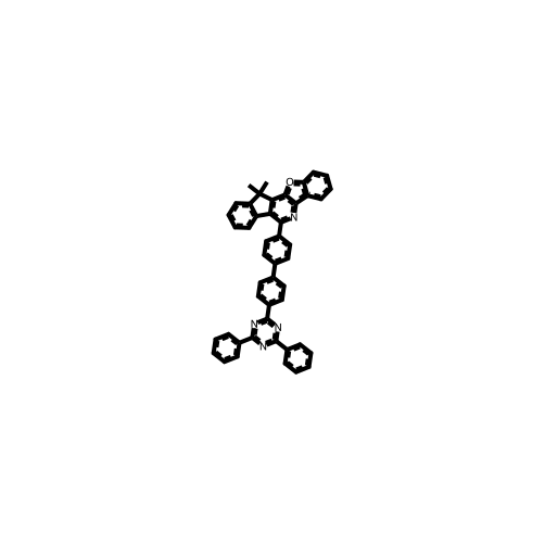 CC1(C)c2ccccc2-c2c(-c3ccc(-c4ccc(-c5nc(-c6ccccc6)nc(-c6ccccc6)n5)cc4)cc3)nc3c(oc4ccccc43)c21